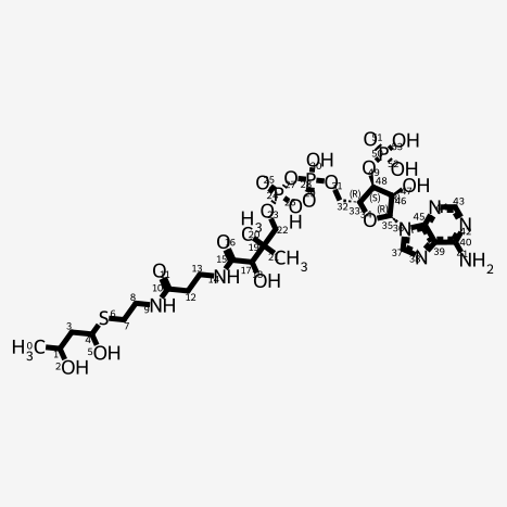 CC(O)CC(O)SCCNC(=O)CCNC(=O)C(O)C(C)(C)COP(=O)(O)OP(=O)(O)OC[C@H]1O[C@@H](n2cnc3c(N)ncnc32)[C@H](O)[C@@H]1OP(=O)(O)O